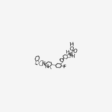 Cc1nc(N2CCC3(C=Cc4ccccc43)CC2)ccc1-c1ccc(F)c(COc2ccc3c(c2)C[C@H]2[C@H](C(=O)O)[C@@H]32)c1